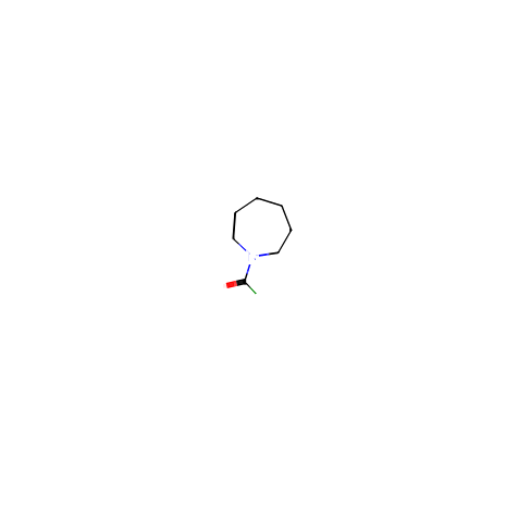 O=C(Cl)N1CCCCCC1